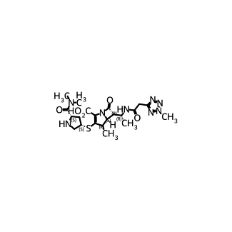 C[C@@H](NC(=O)Cc1nnn(C)n1)[C@H]1C(=O)N2C(C(=O)O)=C(S[C@@H]3CN[C@H](C(=O)N(C)C)C3)[C@H](C)[C@H]12